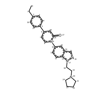 CCc1ccc(-c2ccn(-c3ccc4c(cnn4CCN4CCCC4)c3)c(=O)c2)cc1